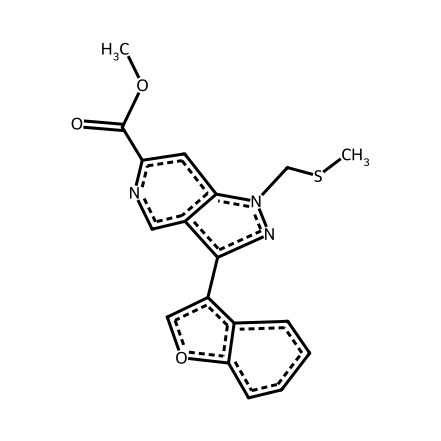 COC(=O)c1cc2c(cn1)c(-c1coc3ccccc13)nn2CSC